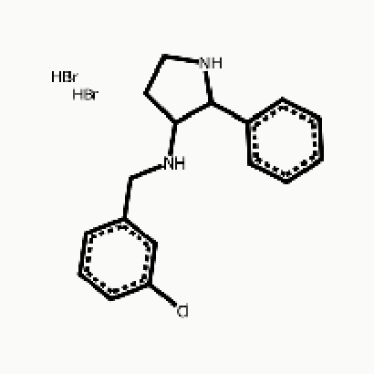 Br.Br.Clc1cccc(CNC2CCNC2c2ccccc2)c1